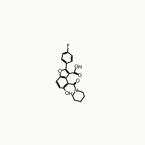 O=C(O)c1c(-c2ccc(F)cc2)oc2ccc(O)c(C(=O)N3CCCCC3)c12